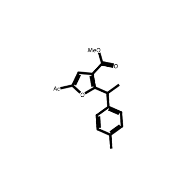 COC(=O)c1cc(C(C)=O)oc1C(C)c1ccc(C)cc1